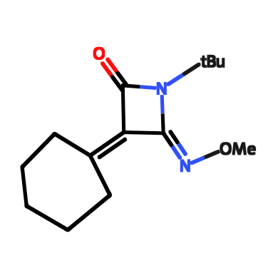 CON=C1C(=C2CCCCC2)C(=O)N1C(C)(C)C